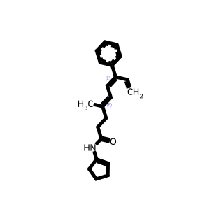 C=C/C(=C\C=C(/C)CCC(=O)NC1=CCCC1)c1ccccc1